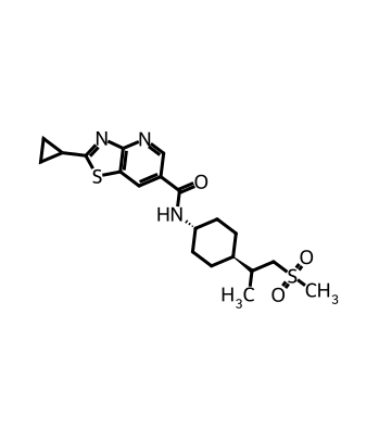 CC(CS(C)(=O)=O)[C@H]1CC[C@H](NC(=O)c2cnc3nc(C4CC4)sc3c2)CC1